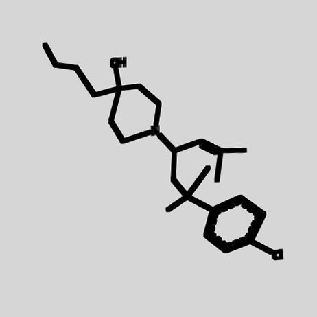 CCCCC1(O)CCN(C(C=C(C)C)CC(C)(C)c2ccc(Cl)cc2)CC1